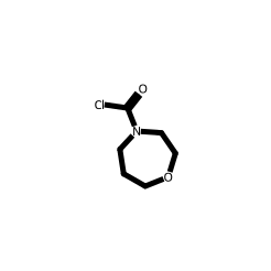 O=C(Cl)N1CCCOCC1